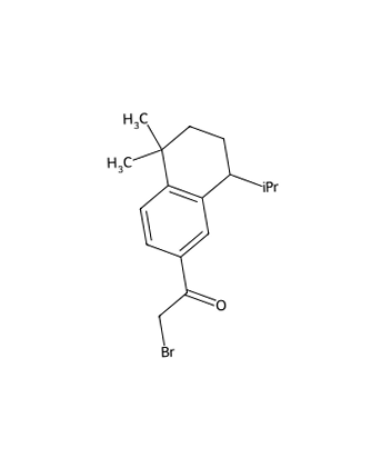 CC(C)C1CCC(C)(C)c2ccc(C(=O)CBr)cc21